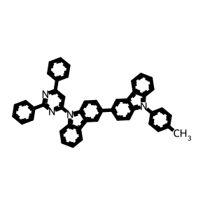 Cc1ccc(-n2c3ccccc3c3cc(-c4ccc5c(c4)c4ccccc4n5-c4cc(-c5ccccc5)nc(-c5ccccc5)n4)ccc32)cc1